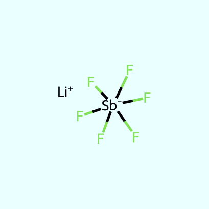 [F][Sb-]([F])([F])([F])([F])[F].[Li+]